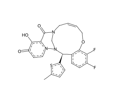 Cc1ccc([C@@H]2c3ccc(F)c(F)c3OC/C=C\CN3CN2n2ccc(=O)c(O)c2C3=O)s1